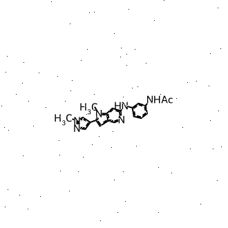 CC(=O)Nc1cccc(Nc2cc3c(cn2)cc(-c2cnn(C)c2)n3C)c1